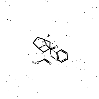 COC(=O)[C@@H]1C2CC[C@@H](C[C@@H]1c1ccccc1)N2C(=O)OC(C)(C)C